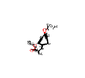 CC(=O)C(Cc1ccc(OCC(=O)O)cc1)C(=O)OC(C)(C)C